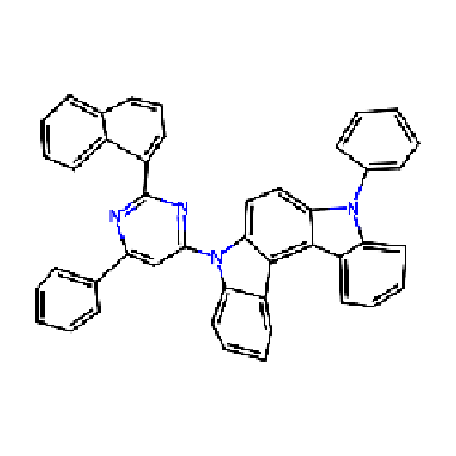 c1ccc(-c2cc(-n3c4ccccc4c4c5c6ccccc6n(-c6ccccc6)c5ccc43)nc(-c3cccc4ccccc34)n2)cc1